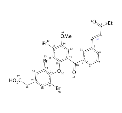 CCC(=O)/C=C/c1cccc(C(=O)c2cc(OC)c(C(C)C)cc2Oc2c(Br)cc(CC(=O)O)cc2Br)c1